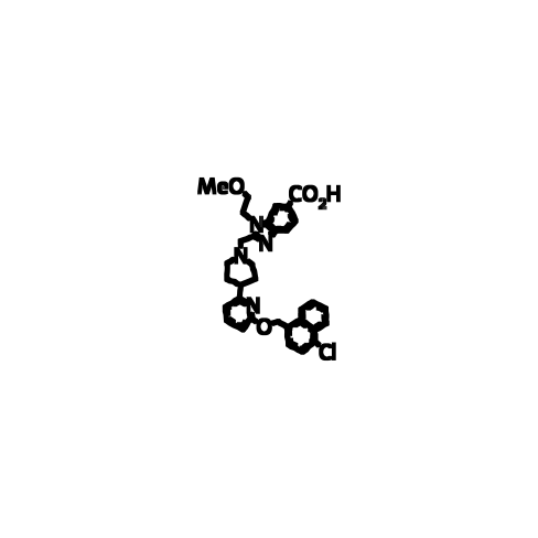 COCCn1c(CN2CCC(c3cccc(OCc4ccc(Cl)c5ccccc45)n3)CC2)nc2ccc(C(=O)O)cc21